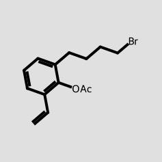 C=Cc1cccc(CCCCBr)c1OC(C)=O